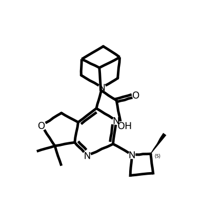 C[C@H]1CCN1c1nc(N2CC3CC(C2)C3CC(=O)O)c2c(n1)C(C)(C)OC2